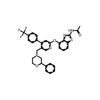 CC(=O)Nc1nc2c(Oc3cc(-c4ccc(C(F)(F)F)cc4)c(CN4CCOC(c5ccccc5)C4)cn3)cccc2s1